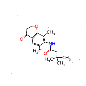 Cc1cc2c(c(C)c1NC(=O)CC(C)(C)C)OCCC2=O